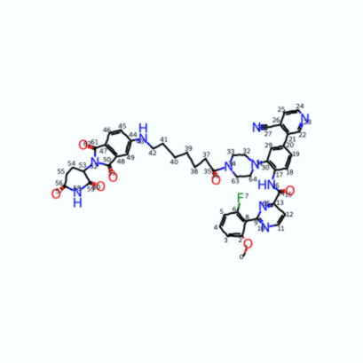 COc1cccc(F)c1-c1nccc(C(=O)Nc2ccc(-c3cnccc3C#N)cc2N2CCN(C(=O)CCCCCCNc3ccc4c(c3)C(=O)N(C3CCC(=O)NC3=O)C4=O)CC2)n1